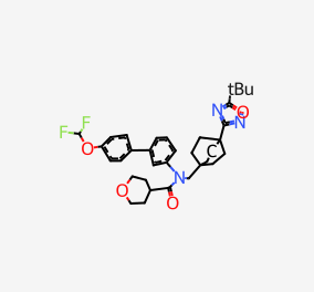 CC(C)(C)c1nc(C23CCC(CN(C(=O)C4CCOCC4)c4cccc(-c5ccc(OC(F)F)cc5)c4)(CC2)CC3)no1